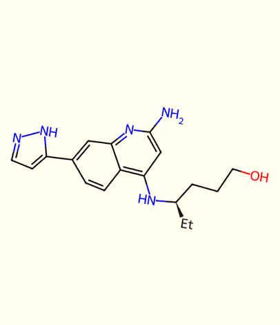 CC[C@H](CCCO)Nc1cc(N)nc2cc(-c3ccn[nH]3)ccc12